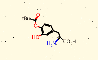 CC(C)(C)C(=O)Oc1ccc(C[C@H](N)C(=O)O)cc1O